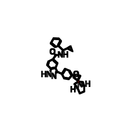 O=C(NC(c1ccccc1)C1CC1)c1ccc2[nH]nc(-c3ccc(OC4C[C@H]5CC[C@@H](C4)N5C4COC4)cc3)c2c1